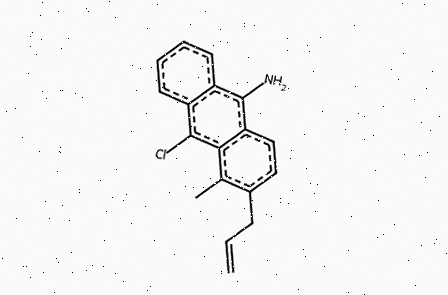 C=CCc1ccc2c(N)c3ccccc3c(Cl)c2c1C